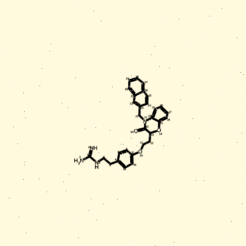 N=C(N)NCCc1ccc(OCCC2Oc3ccccc3N(Cc3ccc4ccccc4c3)C2=O)cc1